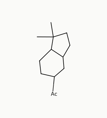 CC(=O)C1CCC2C(CCC2(C)C)C1